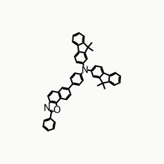 CC1(C)c2ccccc2-c2ccc(N(c3ccc(-c4ccc5c(ccc6nc(-c7ccccc7)oc65)c4)cc3)c3ccc4c(c3)C(C)(C)c3ccccc3-4)cc21